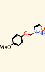 COc1ccc(OCN2C=[C]ON2)cc1